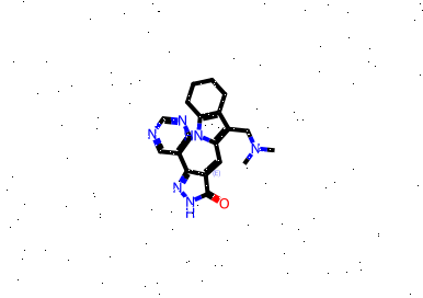 CN(C)Cc1c(/C=C2/C(=O)NN=C2c2cncnc2)[nH]c2c1CCCC2